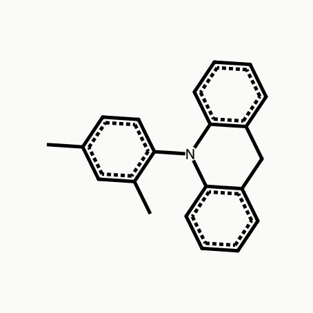 Cc1ccc(N2c3ccccc3Cc3ccccc32)c(C)c1